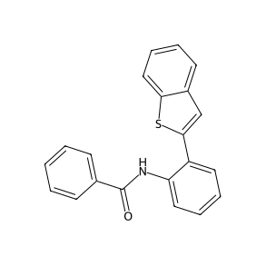 O=C(Nc1ccccc1-c1cc2ccccc2s1)c1ccccc1